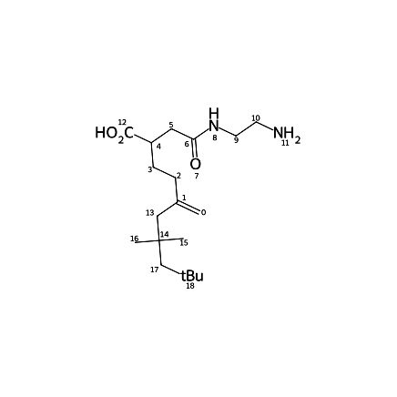 C=C(CCC(CC(=O)NCCN)C(=O)O)CC(C)(C)CC(C)(C)C